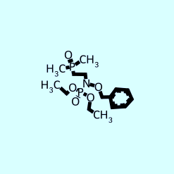 CCOP(=O)(OCC)N(CCP(C)(C)=O)OCc1ccccc1